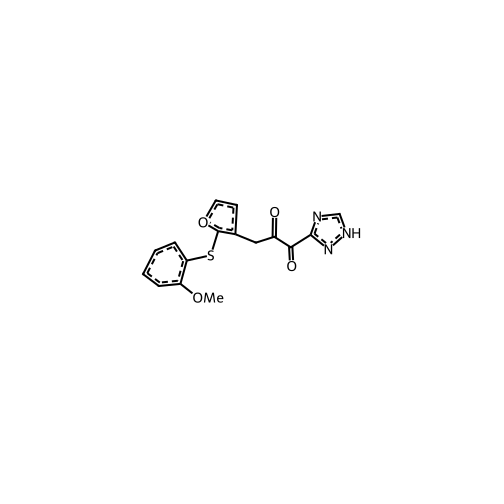 COc1ccccc1Sc1occc1CC(=O)C(=O)c1nc[nH]n1